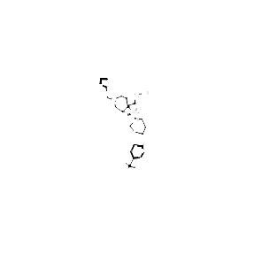 O=C(NO)C1(S(=O)(=O)N2CCC(Oc3ccc(C(F)(F)F)cc3)CC2)CCN(Cc2ccco2)CC1